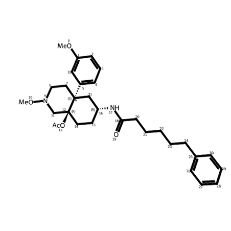 COc1cccc([C@@]23CCN(OC)C[C@@]2(OC(C)=O)CC[C@@H](NC(=O)CCCCCc2ccccc2)C3)c1